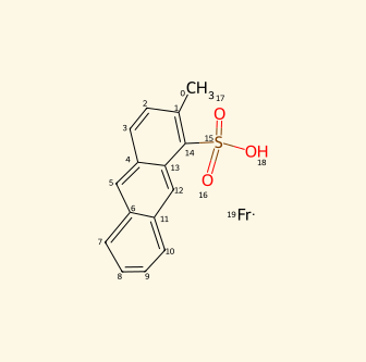 Cc1ccc2cc3ccccc3cc2c1S(=O)(=O)O.[Fr]